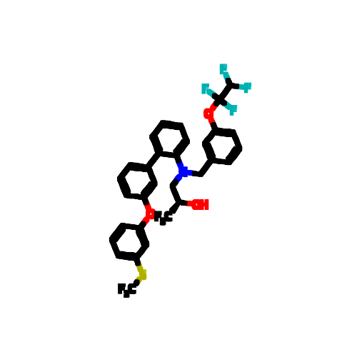 O[C@H](CN(Cc1cccc(OC(F)(F)C(F)F)c1)c1ccccc1-c1cccc(Oc2cccc(SC(F)(F)F)c2)c1)C(F)(F)F